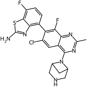 Cc1nc(N2C3CNCC2C3)c2cc(Cl)c(-c3ccc(F)c4sc(N)nc34)c(F)c2n1